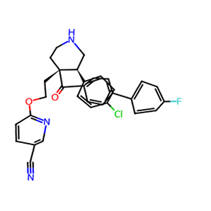 N#Cc1ccc(OCC[C@@]2(C(=O)c3ccc(-c4ccc(F)cc4)cc3)CCNC[C@H]2c2ccc(Cl)cc2)nc1